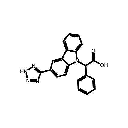 O=C(O)C(c1ccccc1)n1c2ccccc2c2cc(-c3nn[nH]n3)ccc21